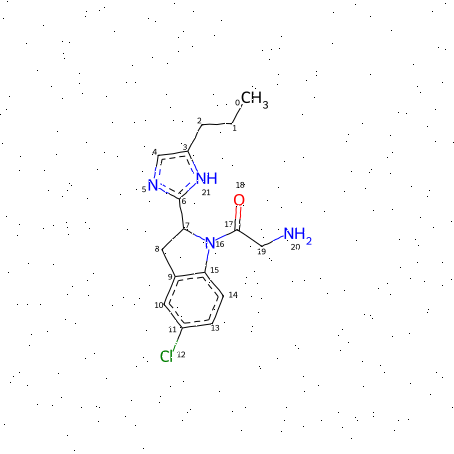 CCCc1cnc(C2Cc3cc(Cl)ccc3N2C(=O)CN)[nH]1